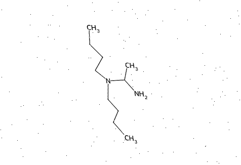 CCCCN(CCCC)C(C)N